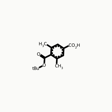 Cc1cc(C(=O)O)cc(C)c1C(=O)OC(C)(C)C